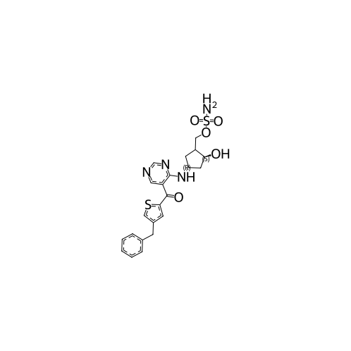 NS(=O)(=O)OCC1C[C@@H](Nc2ncncc2C(=O)c2cc(Cc3ccccc3)cs2)C[C@@H]1O